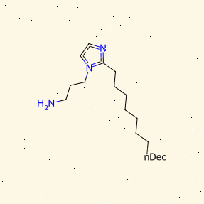 CCCCCCCCCCCCCCCCCc1nccn1CCCN